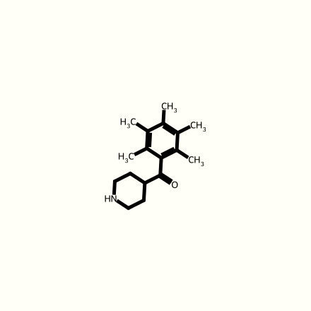 Cc1c(C)c(C)c(C(=O)C2CCNCC2)c(C)c1C